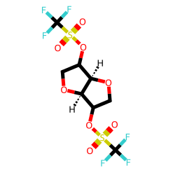 O=S(=O)(OC1CO[C@@H]2C(OS(=O)(=O)C(F)(F)F)CO[C@H]12)C(F)(F)F